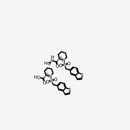 O=C(NO)[C@H]1CCCCN1S(=O)(=O)Cc1ccc2sccc2c1.O=C(O)[C@H]1CCCCN1S(=O)(=O)Cc1ccc2sccc2c1